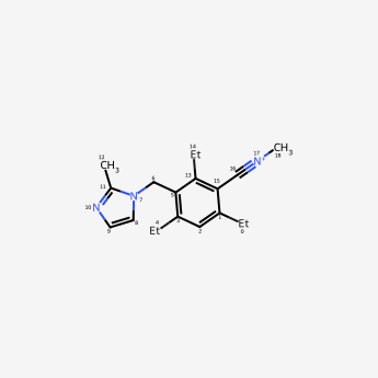 CCc1cc(CC)c(Cn2ccnc2C)c(CC)c1C#[N+]C